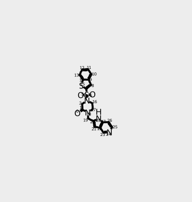 O=C1CN(S(=O)(=O)c2cc3ccccc3s2)CCN1Cc1cc2cnccc2[nH]1